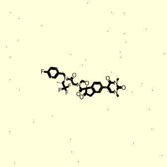 C[C@H](N(Cc1ccc(F)cc1)C(=O)CN1CO[C@]2(C(=O)Cc3cc(-c4cn(C)c(=O)n(C)c4=O)ccc32)C1=O)C(F)(F)F